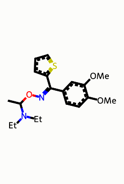 CCN(CC)C(C)ON=C(c1ccc(OC)c(OC)c1)c1cccs1